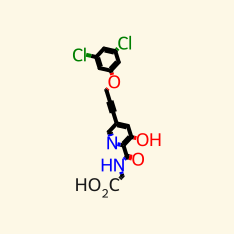 O=C(O)CNC(=O)c1ncc(C#CCOc2cc(Cl)cc(Cl)c2)cc1O